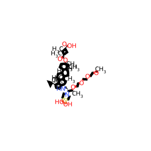 COCCOCCOCCO[C@H](C)[C@@H](CN[C@]12CC[C@@H](C3(C)CC3)[C@@H]1[C@H]1CC[C@@H]3[C@@]4(C)CC[C@H](OC(=O)[C@H]5C[C@@H](C(=O)O)C5(C)C)C(C)(C)[C@@H]4CC[C@@]3(C)[C@]1(C)CC2)N1CCS(O)(O)CC1